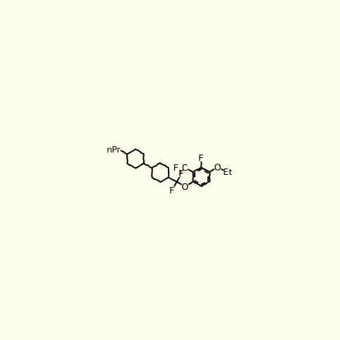 CCCC1CCC(C2CCC(C(F)(F)Oc3ccc(OCC)c(F)c3C(F)(F)F)CC2)CC1